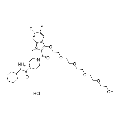 Cl.Cn1c(C(=O)N2CCN(C(=O)C(N)C3CCCCC3)CC2)c(OCCOCCOCCOCCOCCO)c2cc(F)c(F)cc21